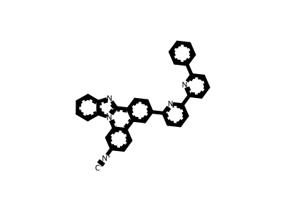 [C-]#[N+]c1ccc2c3cc(-c4cccc(-c5cccc(-c6ccccc6)n5)n4)ccc3c3nc4ccccc4n3c2c1